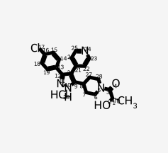 C[C@H](O)C(=O)N1CCC(c2[nH]nc(-c3ccc(Cl)cc3)c2-c2ccncc2)CC1.Cl